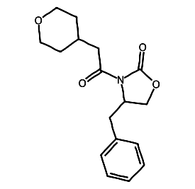 O=C(CC1CCOCC1)N1C(=O)OCC1Cc1ccccc1